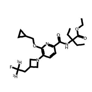 [2H]C([2H])(F)CC1CN(c2ccc(C(=O)NC(CC)(CC)C(=O)OCC)nc2OCC2CC2)C1